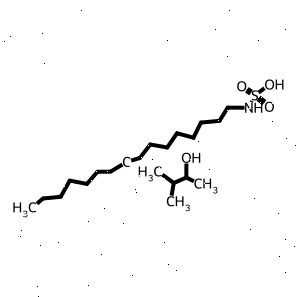 CC(C)C(C)O.CCCCCCCCCCCCCCCCNS(=O)(=O)O